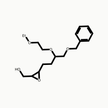 CCOCCOC(CCC1OC1CO)COCc1ccccc1